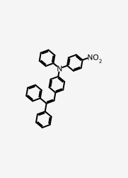 O=[N+]([O-])c1ccc(N(c2ccccc2)c2ccc(C=C(c3ccccc3)c3ccccc3)cc2)cc1